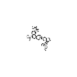 CCOC(=O)N1C2CCC3CC(N4CCC5(CC4)CN(C(C)=O)c4ccc(S(C)(=O)=O)cc45)CC321